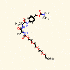 CCCN(C)C(=O)OCc1ccc(NC(=O)[C@H](C)NC(=O)[C@@H](NC(=O)OCCOCCOCCOCCOC)C(C)C)cc1